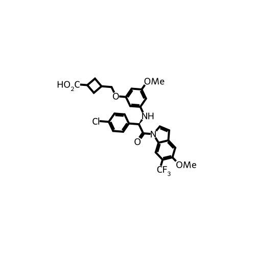 COc1cc(N[C@@H](C(=O)n2ccc3cc(OC)c(C(F)(F)F)cc32)c2ccc(Cl)cc2)cc(OCC2CC(C(=O)O)C2)c1